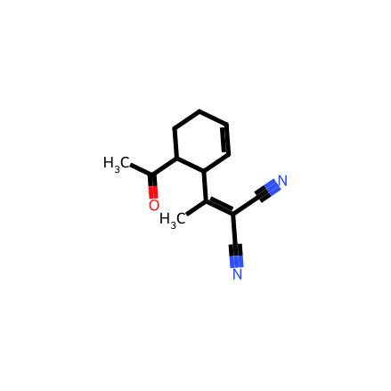 CC(=O)C1CCC=CC1C(C)=C(C#N)C#N